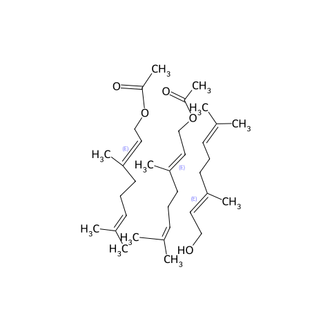 CC(=O)OC/C=C(\C)CCC=C(C)C.CC(=O)OC/C=C(\C)CCC=C(C)C.CC(C)=CCC/C(C)=C/CO